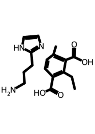 CCc1c(C(=O)O)ccc(C)c1C(=O)O.NCCCc1ncc[nH]1